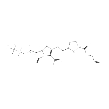 C=CCOC(=O)N1CCC(CCC2=C(C(=O)O)N3C(=O)[C@H]([C@@H](C)O[Si](C)(C)C(C)(C)C)[C@H]3C2)C1